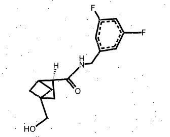 O=C(NCc1cc(F)cc(F)c1)[C@H]1CC2(CO)CC1C2